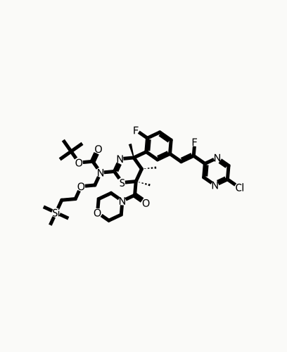 C[C@@H]1[C@@](C)(C(=O)N2CCOCC2)SC(N(COCC[Si](C)(C)C)C(=O)OC(C)(C)C)=N[C@]1(C)c1cc(/C=C(\F)c2cnc(Cl)cn2)ccc1F